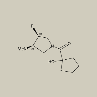 CN[C@@H]1CN(C(=O)C2(O)CCCC2)C[C@@H]1F